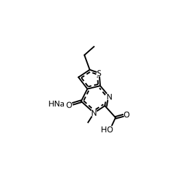 CCc1cc2c(=O)n(C)c(C(=O)O)nc2s1.[NaH]